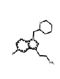 NCCc1cn(CC2CCCCO2)c2ccc(F)cc12